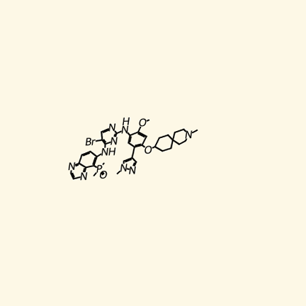 COc1cc(OC2CCC3(CC2)CCN(C)CC3)c(-c2cnn(C)c2)cc1Nc1ncc(Br)c(Nc2ccc3nccnc3c2P(C)(C)=O)n1